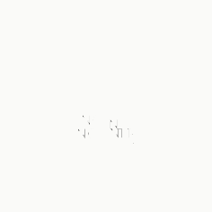 C1CCC(C2CCCCC2)CC1.N#CN.N#CN